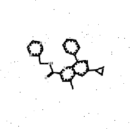 Cc1cc(C(=O)NCc2cnccn2)nc2c(-c3ccccc3)cc(C3CC3)cc12